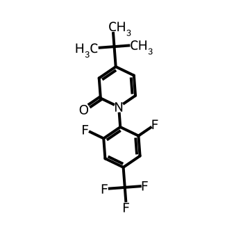 CC(C)(C)c1ccn(-c2c(F)cc(C(F)(F)F)cc2F)c(=O)c1